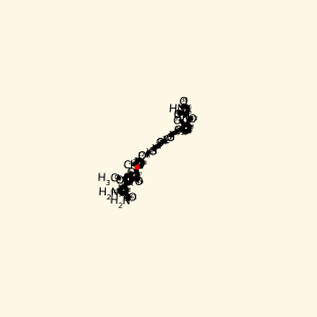 CCOc1cc2oc(-c3ccc(OCCOCCOCCOCCOc4cccc5c4C(=O)N(C4CCC(=O)NC4=O)C5=O)cc3Cl)cc(=O)c2cc1-c1cc(N)cc(C(N)=O)c1